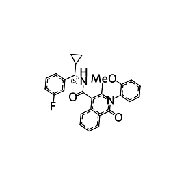 COc1ccccc1-n1c(C)c(C(=O)N[C@H](c2cccc(F)c2)C2CC2)c2ccccc2c1=O